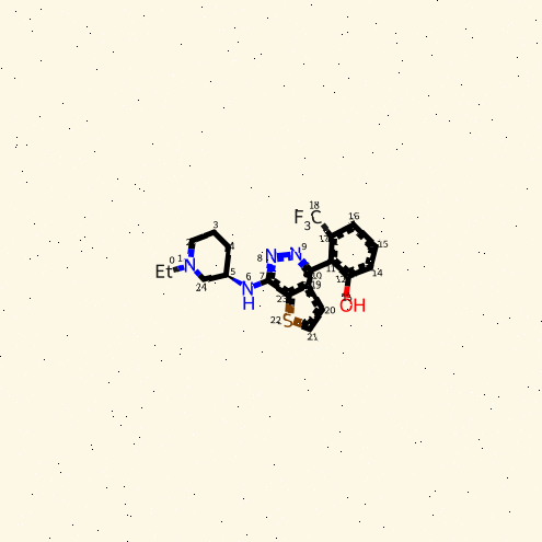 CCN1CCC[C@@H](Nc2nnc(-c3c(O)cccc3C(F)(F)F)c3ccsc23)C1